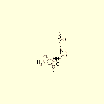 CCOC(=O)CCCN1CCOC(CNC(=O)c2cc(Cl)c(N)cc2OCC)C1